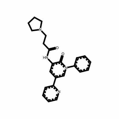 O=C(CCN1CCCC1)Nc1cc(-c2ccccn2)cn(-c2ccccc2)c1=O